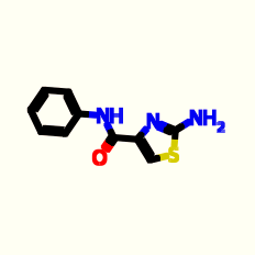 Nc1nc(C(=O)Nc2ccccc2)cs1